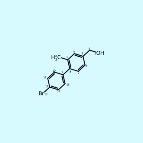 Cc1cc(CO)ccc1-c1ccc(Br)cc1